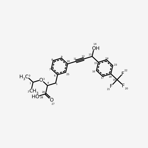 CC(C)OC(Cc1cccc(C#CC(O)c2ccc(C(F)(F)F)cc2)c1)C(=O)O